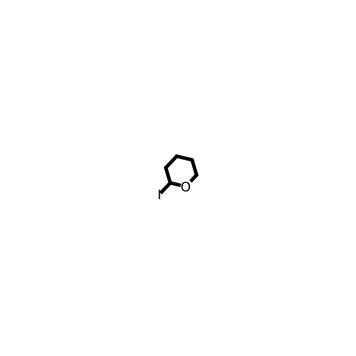 IC1CCCCO1